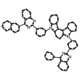 c1ccc(-c2nc(-c3cccc(-n4c5ccccc5c5c6c7ccccc7n(-c7cccc(-c8nc(-c9ccc%10ccccc%10c9)c9ccccc9n8)c7)c6ccc54)c3)nc3ccccc23)cc1